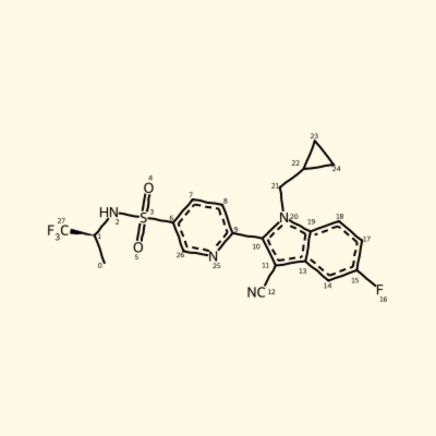 C[C@H](NS(=O)(=O)c1ccc(-c2c(C#N)c3cc(F)ccc3n2CC2CC2)nc1)C(F)(F)F